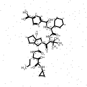 CCC[C@H](NC(=O)[C@@H]1C2CCC[C@H]2CN1C(=O)[C@@H](NC(=O)[C@@H](NC(O)c1cnc(C(=O)O)cn1)C1CCCCC1)C(C)(C)C)C(=O)C(=O)NC1CC1